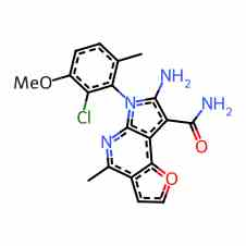 COc1ccc(C)c(-n2c(N)c(C(N)=O)c3c4occc4c(C)nc32)c1Cl